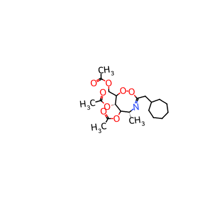 CC(=O)OCC1OO/C(CC2CCCCCC2)=N\[C@H](C)C(OC(C)=O)[C@@H]1OC(C)=O